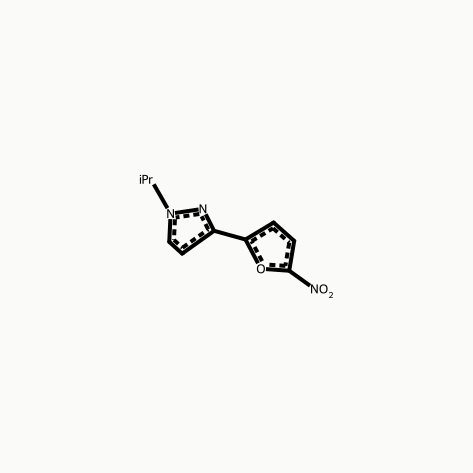 CC(C)n1ccc(-c2ccc([N+](=O)[O-])o2)n1